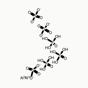 O=P(O)(O)O.O=P(O)(O)O.O=P(O)(O)O.O=S(=O)([O-])[O-].O=S(=O)([O-])[O-].O=S(=O)([O-])[O-].[Al+3].[Al+3]